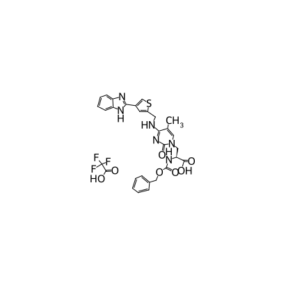 Cc1cn(C[C@H](NC(=O)OCc2ccccc2)C(=O)O)c(=O)nc1NCc1cc(-c2nc3ccccc3[nH]2)cs1.O=C(O)C(F)(F)F